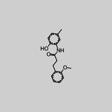 COc1ccccc1CCC(=O)Nc1cc(C)ccc1O